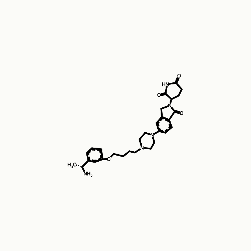 C[C@@H](N)c1cccc(OCCCCN2CCN(c3ccc4c(c3)CN(C3CCC(=O)NC3=O)C4=O)CC2)c1